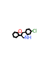 Clc1ccc2c(c1)NCc1c-2oc2ccccc12